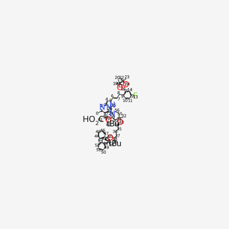 Cc1nc2cc(C=CCc3ccc(F)cc3B3OC(C)(C)C(C)(C)O3)nn2c(N2CCC(C)(OCCCCC(C)O[Si](c3ccccc3)(c3ccccc3)C(C)(C)C)CC2)c1C(OC(C)(C)C)C(=O)O